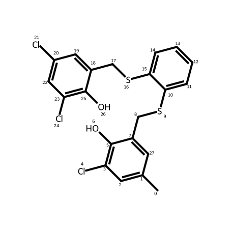 Cc1cc(Cl)c(O)c(CSc2ccccc2SCc2cc(Cl)cc(Cl)c2O)c1